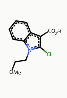 COCCn1c(Cl)c(C(=O)O)c2ccccc21